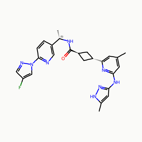 Cc1cc(Nc2cc(C)[nH]n2)nc([C@H]2C[C@H](C(=O)N[C@@H](C)c3ccc(-n4cc(F)cn4)nc3)C2)c1